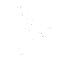 COc1ccc(CN([C@H]2C[C@@H](C)N(C(=O)O)[C@H]2COC2CCC(c3ncccn3)CC2)S(C)(=O)=O)cc1